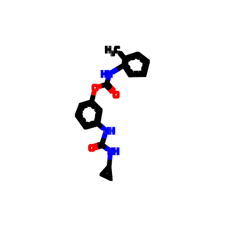 Cc1ccccc1NC(=O)Oc1cccc(NC(=O)NC2CC2)c1